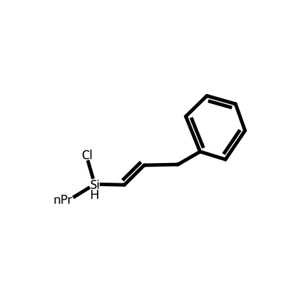 CCC[SiH](Cl)C=CCc1ccccc1